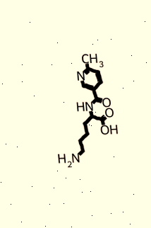 Cc1ccc(C(=O)NC(CCCCN)C(=O)O)cn1